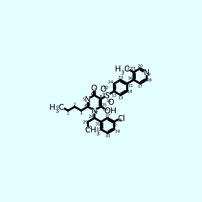 CCCCc1nc(=O)c(S(=O)(=O)c2ccc(-c3ccncc3C)cc2)c(O)n1C(CC)c1cccc(Cl)c1